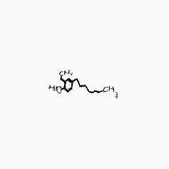 CCCCCCCc1ccc(O)c(CC)c1